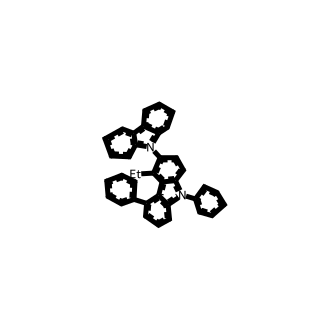 CCc1c(-n2c3ccccc3c3ccccc32)ccc2c1c1c(-c3ccccc3)cccc1n2-c1ccccc1